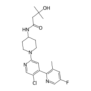 Cc1cc(F)cnc1-c1cc(N2CCC(NC(=O)CC(C)(C)O)CC2)ncc1Cl